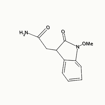 CON1C(=O)C(CC(N)=O)c2ccccc21